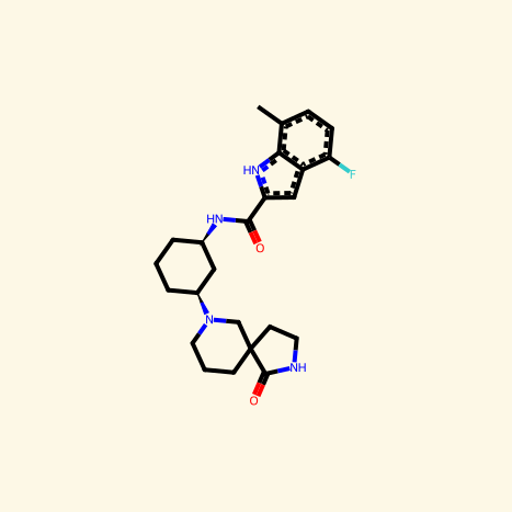 Cc1ccc(F)c2cc(C(=O)N[C@@H]3CCC[C@H](N4CCCC5(CCNC5=O)C4)C3)[nH]c12